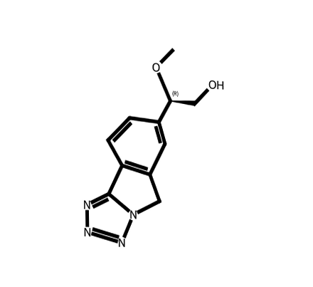 CO[C@@H](CO)c1ccc2c(c1)Cn1nnnc1-2